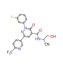 N#CC(CO)NC(=O)c1cc(-c2ccc(C(F)(F)F)nc2)nn(-c2cccc(F)c2)c1=O